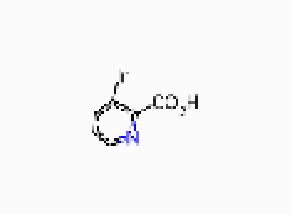 O=C(O)c1nccc[c]1[Ir]